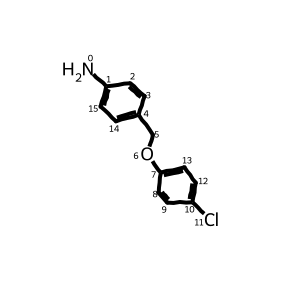 Nc1ccc(COc2ccc(Cl)cc2)cc1